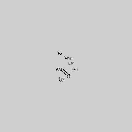 [Co].[LiH].[LiH].[Mn].[Ni].[O]=[AlH]